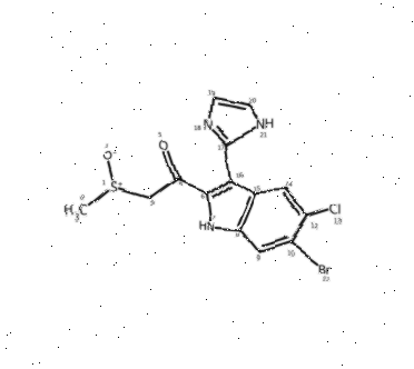 C[S+]([O-])CC(=O)c1[nH]c2cc(Br)c(Cl)cc2c1-c1ncc[nH]1